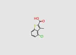 Cc1c(C(=O)O)sc2cccc(Cl)c12